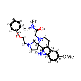 CCN(CC)C(=O)CN1CCc2c([nH]c3ccc(OC)cc23)C12CCN(CCOc1ccccc1)C2